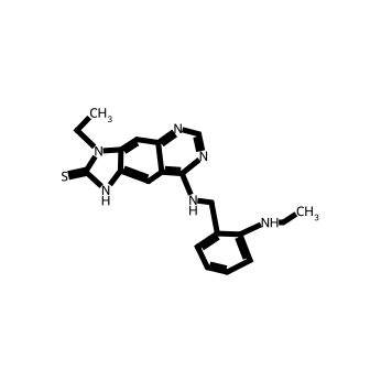 CCNc1ccccc1CNc1ncnc2cc3c(cc12)[nH]c(=S)n3CC